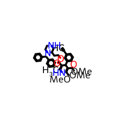 C#Cc1cccc(C2C(C(=O)OCCC3CNCCN3C(c3ccccc3)c3ccccc3)=C(C)NC(C(OC)OC)=C2C(=O)OC)c1